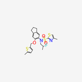 Cc1csc(S(=O)(=O)N(CC(C)F)c2cc3c(cc2OCc2ccc(C)s2)CCC3)n1